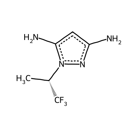 C[C@H](n1nc(N)cc1N)C(F)(F)F